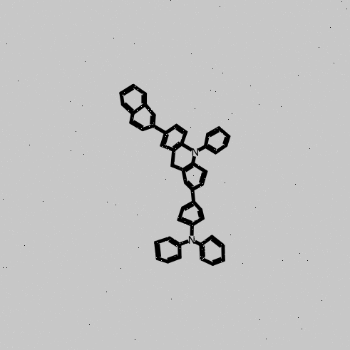 c1ccc(N(c2ccccc2)c2ccc(-c3ccc4c(c3)Cc3cc(-c5ccc6ccccc6c5)ccc3N4c3ccccc3)cc2)cc1